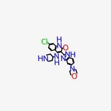 O=c1[nH]c2cc(Cl)ccc2c(NC2CCNCC2)c1-c1nc2cc(N3CCOCC3)ccc2[nH]1